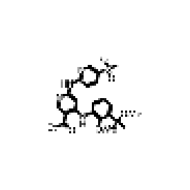 CCC(=O)c1cnc(Nc2ccc(S(C)(=O)=O)cn2)cc1Nc1cccc(C(C)(C)OC)c1OC